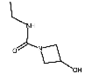 CCNC(=O)N1CC(O)C1